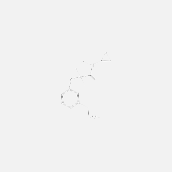 COCc1cccc2c1CC1(CCN(C3CC3)C1=O)C2